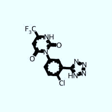 O=c1cc(C(F)(F)F)[nH]c(=O)n1-c1ccc(Cl)c(-c2nnn[nH]2)c1